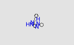 c1ccc(CCc2n[nH]c3ccnc(NC4CCCCC4)c23)cc1